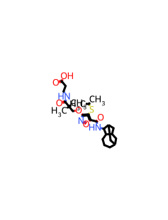 CC(C)Sc1c(OCC(C)(C)C(=O)NCCC(=O)O)noc1C(=O)NC1C2CC3CCCC1C(C3)C2